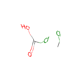 CCl.O=C(O)Cl